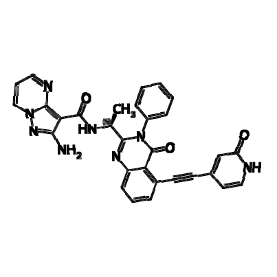 C[C@H](NC(=O)c1c(N)nn2cccnc12)c1nc2cccc(C#Cc3cc[nH]c(=O)c3)c2c(=O)n1-c1ccccc1